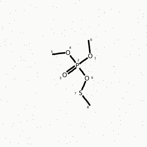 COP(=O)(OC)OSC